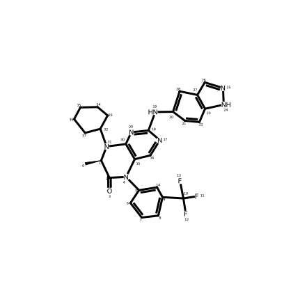 C[C@@H]1C(=O)N(c2cccc(C(F)(F)F)c2)c2cnc(Nc3ccc4[nH]ncc4c3)nc2N1C1CCCCC1